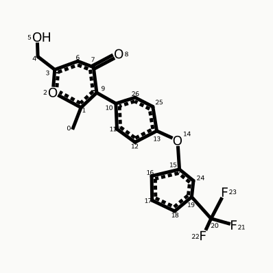 Cc1oc(CO)cc(=O)c1-c1ccc(Oc2cccc(C(F)(F)F)c2)cc1